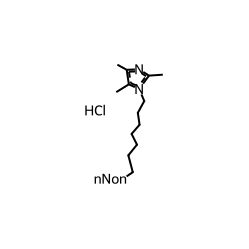 CCCCCCCCCCCCCCCCn1c(C)nc(C)c1C.Cl